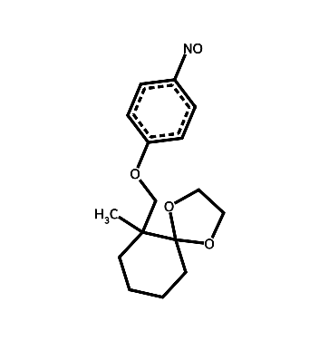 CC1(COc2ccc(N=O)cc2)CCCCC12OCCO2